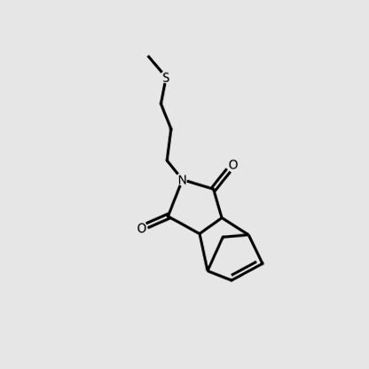 CSCCCN1C(=O)C2C3C=CC(C3)C2C1=O